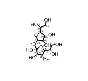 OC[C@H](O)[C@@H]1O[C@](O)(O[C@H]2O[C@H]([C@@H](O)CO)[C@H](O)[C@H]2O)[C@H](O)[C@H]1O